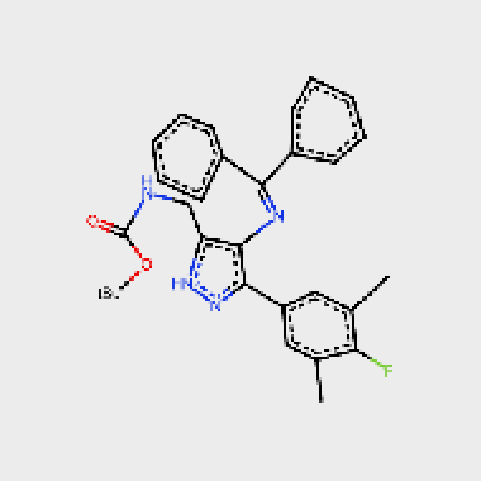 Cc1cc(-c2n[nH]c(CNC(=O)OC(C)(C)C)c2N=C(c2ccccc2)c2ccccc2)cc(C)c1F